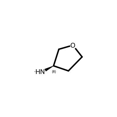 [NH][C@@H]1CCOC1